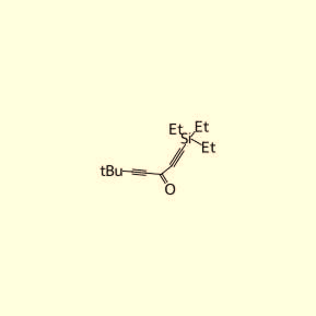 CC[Si](C#CC(=O)C#CC(C)(C)C)(CC)CC